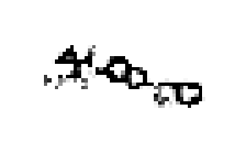 CCCN(Cc1ccccc1)C1Cc2ccc(OC(=O)C3(C(N)=O)CC3)cc2C1